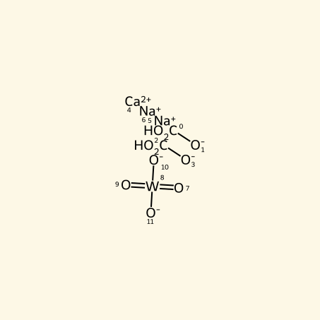 O=C([O-])O.O=C([O-])O.[Ca+2].[Na+].[Na+].[O]=[W](=[O])([O-])[O-]